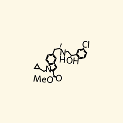 COC(=O)c1cc2cc(C[C@@H](C)NC[C@H](O)c3cccc(Cl)c3)ccc2n1CC1CC1